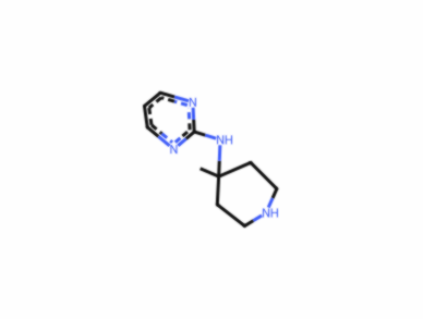 CC1(Nc2ncccn2)CCNCC1